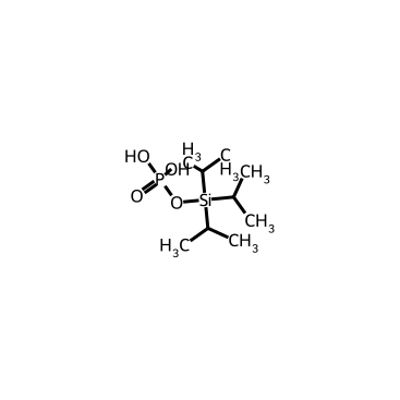 CC(C)[Si](OP(=O)(O)O)(C(C)C)C(C)C